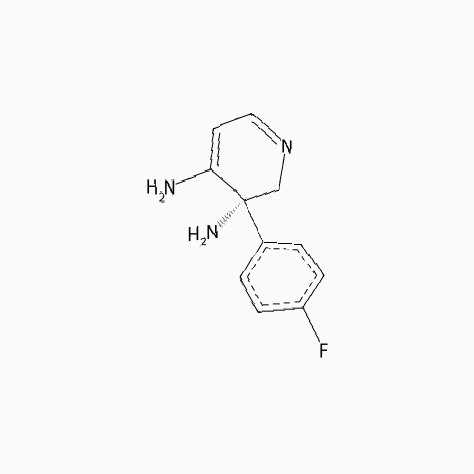 NC1=CC=NC[C@@]1(N)c1ccc(F)cc1